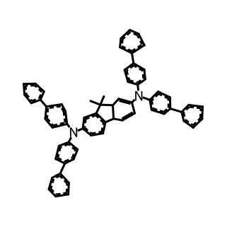 CC1(C)c2cc(N(c3ccc(-c4ccccc4)cc3)c3ccc(-c4ccccc4)cc3)ccc2C2C=CC(N(c3ccc(-c4ccccc4)cc3)c3ccc(-c4ccccc4)cc3)=CC21